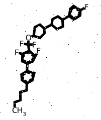 CCCCCc1ccc(-c2cc(F)c(C(F)(F)OC3CCC(C4CCC(c5ccc(F)cc5)CC4)CC3)c(F)c2)cc1